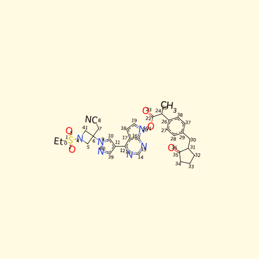 CCS(=O)(=O)N1CC(CC#N)(n2cc(-c3ncnc4c3ccn4OC(=O)C(C)c3ccc(CC4CCCC4=O)cc3)cn2)C1